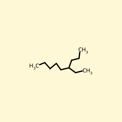 CC[CH]CCC(CC)CCC